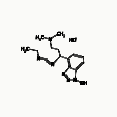 CCN=C=NC(CCN(C)C)c1cccc2c1nnn2O.Cl